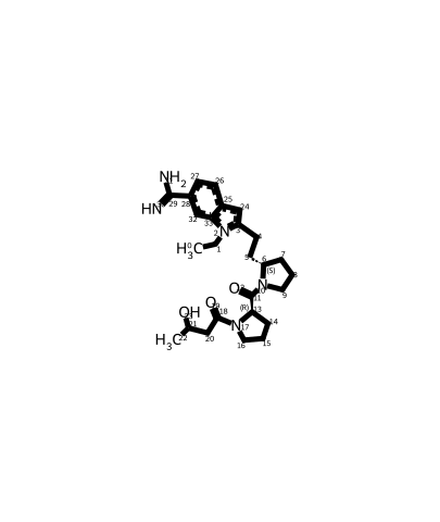 CCn1c(CC[C@@H]2CCCN2C(=O)[C@H]2CCCN2C(=O)CC(C)O)cc2ccc(C(=N)N)cc21